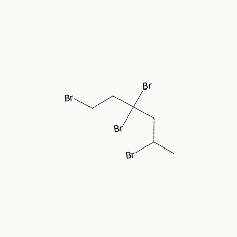 CC(Br)CC(Br)(Br)CCBr